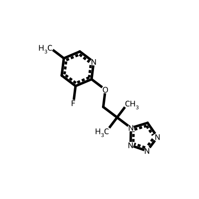 Cc1cnc(OCC(C)(C)n2cnnn2)c(F)c1